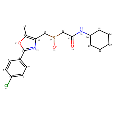 Cc1oc(-c2ccc(Cl)cc2)nc1C[S+]([O-])CC(=O)NC1CCCCC1